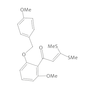 COc1ccc(COc2cccc(OC)c2C(=O)C=C(SC)SC)cc1